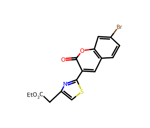 CCOC(=O)Cc1csc(-c2cc3ccc(Br)cc3oc2=O)n1